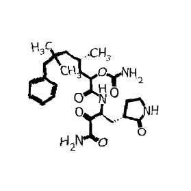 C[C@H](CC(OC(N)=O)C(=O)N[C@@H](C[C@@H]1CCNC1=O)C(=O)C(N)=O)CC(C)(C)Cc1ccccc1